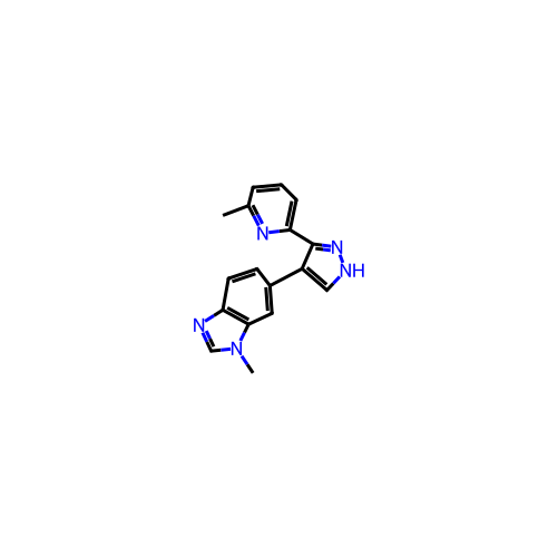 Cc1cccc(-c2n[nH]cc2-c2ccc3ncn(C)c3c2)n1